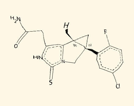 NC(=O)Cc1[nH]c(=S)n2c1[C@@H]1C[C@]1(c1cc(Cl)ccc1F)C2